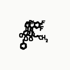 C=CCN1CN([C@@H](c2ccccn2)c2cc(F)c(F)cc2CCC)n2ccc(=O)c(OCc3ccccc3)c2C1=O